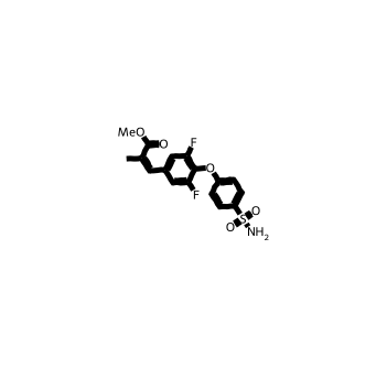 COC(=O)C(C)=Cc1cc(F)c(Oc2ccc(S(N)(=O)=O)cc2)c(F)c1